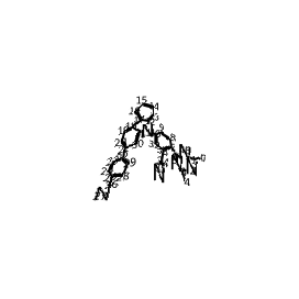 Cc1nc(C)nc(-c2ccc(-n3c4ccccc4c4ccc(-c5ccc(C#N)cc5)cc43)cc2C#N)n1